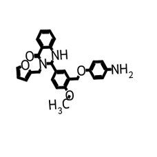 COc1ccc(C2Nc3ccccc3C(=O)N2Cc2ccco2)cc1COc1ccc(N)cc1